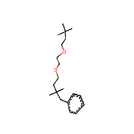 CC(C)(C)CCOCCOCCC(C)(C)Cc1ccccc1